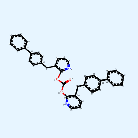 O=C(Oc1ncccc1Cc1ccc(-c2ccccc2)cc1)Oc1ncccc1Cc1ccc(-c2ccccc2)cc1